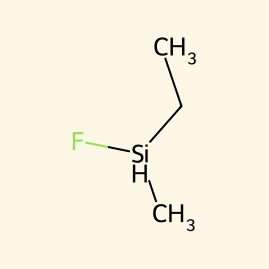 CC[SiH](C)F